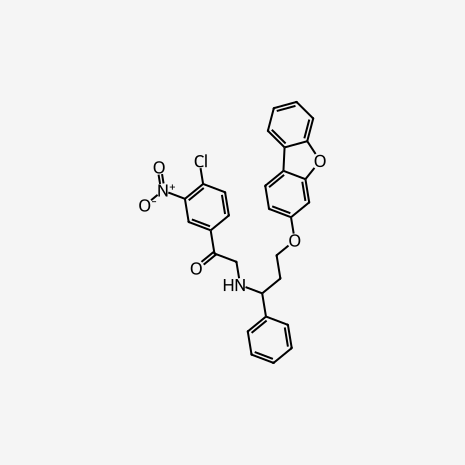 O=C(CNC(CCOc1ccc2c(c1)oc1ccccc12)c1ccccc1)c1ccc(Cl)c([N+](=O)[O-])c1